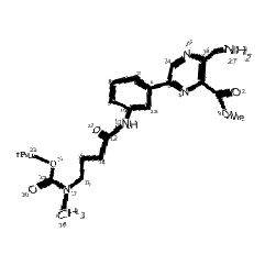 COC(=O)c1nc(-c2cccc(NC(=O)CCCN(C)C(=O)OC(C)(C)C)c2)cnc1N